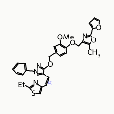 CCc1nc(/C=C\c2cn(-c3ccccc3)nc2OCc2ccc(OCc3nc(-c4ccco4)oc3C)c(OC)c2)cs1